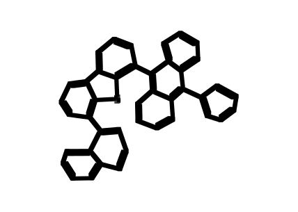 c1ccc(-c2c3ccccc3c(-c3cccc4c3sc3c(-c5cccc6ccccc56)cccc34)c3ccccc23)cc1